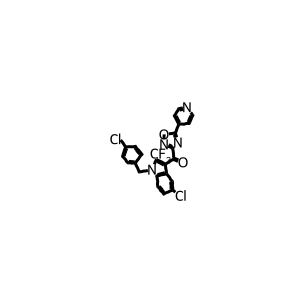 O=C(c1noc(-c2ccncc2)n1)c1c(C(F)(F)F)n(Cc2ccc(Cl)cc2)c2ccc(Cl)cc12